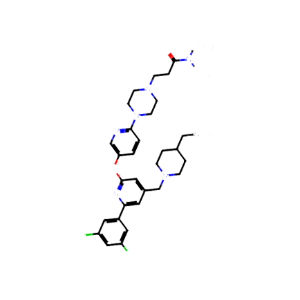 CC(=O)NCC1CCN(Cc2cc(Oc3ccc(N4CCN(CCC(=O)N(C)C(=O)O)CC4)nc3)nc(-c3cc(Cl)cc(Cl)c3)c2)CC1